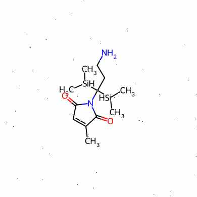 CC1=CC(=O)N(C(CCN)([SiH](C)C)[SiH](C)C)C1=O